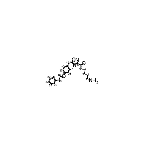 NCCCCCC(=O)c1noc(Cc2ccc(OCCc3ccccc3)cc2)n1